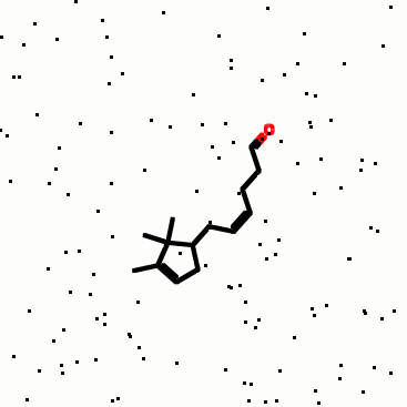 CC1=CCC(C/C=C\CCC=O)C1(C)C